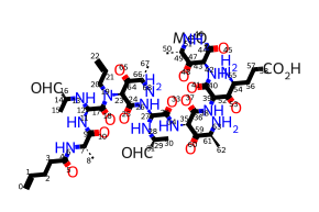 C=CCCC(=O)N[C@@H](C)C(=O)N[C@@H](N[C@@H](C)C=O)C(=O)N(CC=C)[C@H](C(=O)N[C@H](N[C@@H](C)C=O)C(=O)N[C@H](C(=O)NC(C(=O)N[C@H](C(=O)OC)C(=O)[C@H](C)N)C(=O)[C@@H](N)CCC(=O)O)C(=O)[C@H](C)N)C(=O)[C@H](C)N